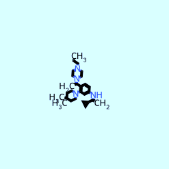 C=C(Nc1ccc(C(=C)N2CCN(CCC)CC2)c(N2CCC(C)(C)CC2)c1)C1CC1